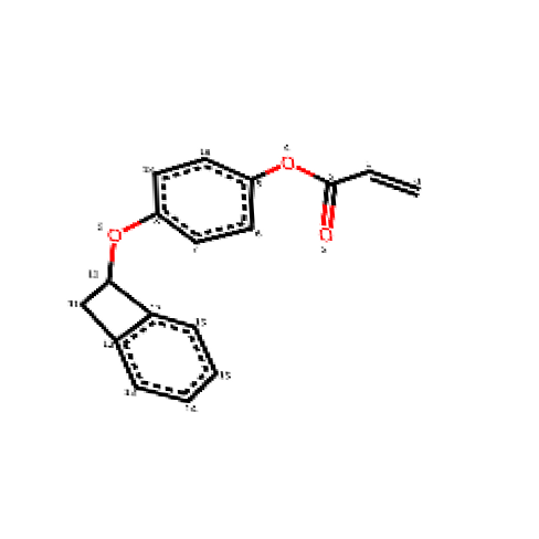 C=CC(=O)Oc1ccc(OC2Cc3ccccc32)cc1